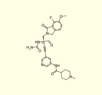 COc1ccc2c(c1F)C(=O)N(C[C@](C#Cc1cncc(NC(=O)C3CCN(C)CC3)c1)(C=O)NC(N)=O)C2